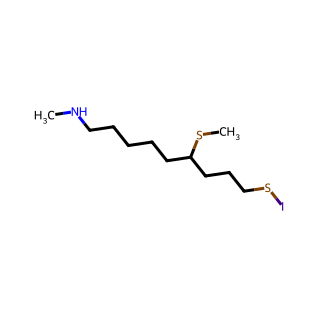 CNCCCCCC(CCCSI)SC